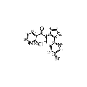 O=C(Nc1ccsc1-c1ccc(Br)cn1)c1cccnc1Cl